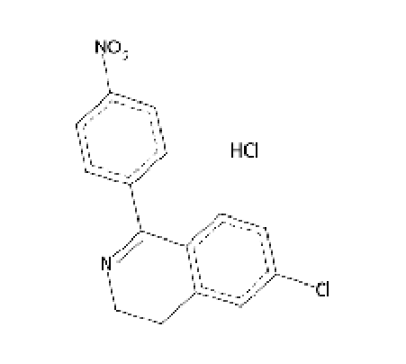 Cl.O=[N+]([O-])c1ccc(C2=NCCc3cc(Cl)ccc32)cc1